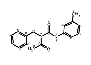 Cc1cccc(NC(=O)N(Cc2ccccc2)C(N)=O)c1